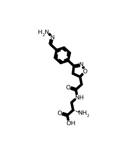 NN=Cc1ccc(C2=NOC(CC(=O)NC[C@H](N)C(=O)O)C2)cc1